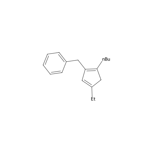 CCCCC1=C(Cc2ccccc2)C=C(CC)C1